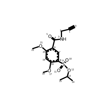 C#CCNC(=O)c1cc(S(=O)(=O)OC(C)C)c(OC)cc1OC